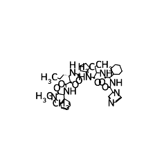 CCC[C@H](NC(=O)[C@@H]1CCC[C@@H]1NC(=O)C(NC(=O)[C@@H](NC(=O)c1cnccn1)C1CCCCC1)C(C)C)C(=O)C(=O)N[C@@H](C(=O)N(C)C)c1ccccc1